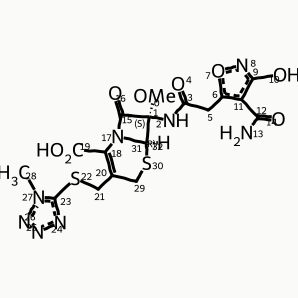 CO[C@@]1(NC(=O)Cc2onc(O)c2C(N)=O)C(=O)N2C(C(=O)O)=C(CSc3nnnn3C)CS[C@@H]21